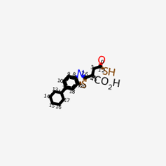 O=C(S)CC(C(=O)O)c1nc2ccc(C3CCCCC3)cc2s1